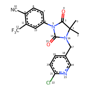 CC1(C)C(=O)N(c2ccc(C#N)c(C(F)(F)F)c2)C(=O)N1Cc1ccc(Cl)nc1